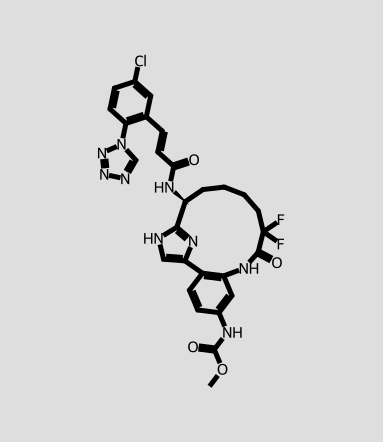 COC(=O)Nc1ccc2c(c1)NC(=O)C(F)(F)CCCC[C@H](NC(=O)/C=C/c1cc(Cl)ccc1-n1cnnn1)c1nc-2c[nH]1